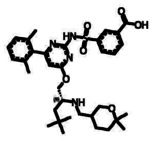 Cc1cccc(C)c1-c1cc(OC[C@@H](CC(C)(C)C)NCC2CCC(C)(C)OC2)nc(NS(=O)(=O)c2cccc(C(=O)O)c2)n1